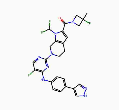 CC1(F)CN(C(=O)c2cc3c(n2C(F)F)CN(c2ncc(F)c(Nc4ccc(-c5cn[nH]c5)cc4)n2)CC3)C1